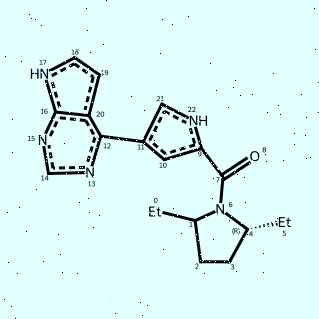 CCC1CC[C@@H](CC)N1C(=O)c1cc(-c2ncnc3[nH]ccc23)c[nH]1